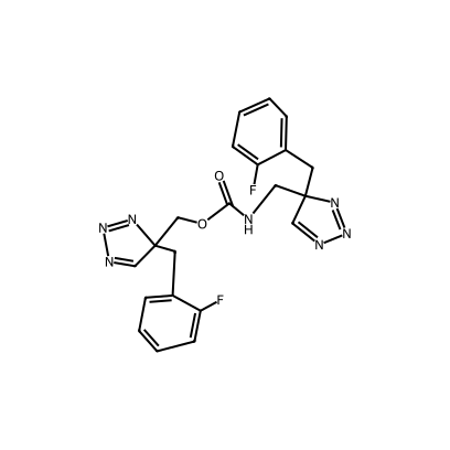 O=C(NCC1(Cc2ccccc2F)C=NN=N1)OCC1(Cc2ccccc2F)C=NN=N1